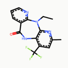 CCN1c2ncccc2C(=O)Nc2c(C(F)(F)F)cc(C)nc21